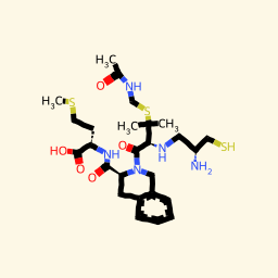 CSCC[C@H](NC(=O)[C@@H]1Cc2ccccc2CN1C(=O)[C@@H](NC[C@@H](N)CS)C(C)(C)SCNC(C)=O)C(=O)O